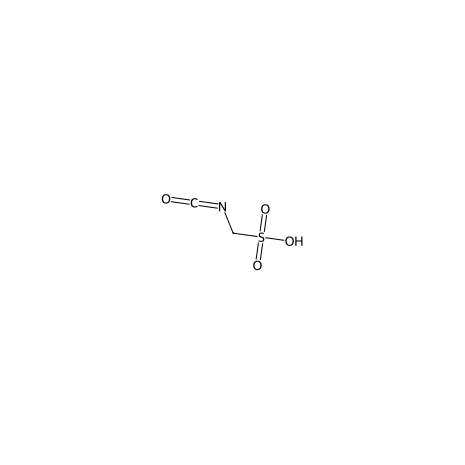 O=C=NCS(=O)(=O)O